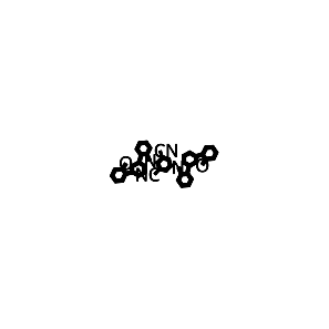 N#Cc1cc(-n2c3ccccc3c3c4oc5ccccc5c4ccc32)cc(C#N)c1-n1c2ccccc2c2c3oc4ccccc4c3ccc21